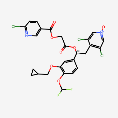 O=C(COC(=O)c1ccc(Cl)nc1)O[C@@H](Cc1c(Cl)c[n+]([O-])cc1Cl)c1ccc(OC(F)F)c(OCC2CC2)c1